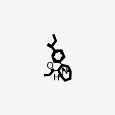 C=C(CC)c1ccc([C@H]2CC3CC[C@H]([C@H]2C(=O)CC)N3C)cc1